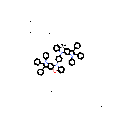 C[Si]1(C)c2ccccc2N(c2ccc(N3c4ccccc4Oc4cc5c(-c6ccccc6)c(-c6ccccc6)n(-c6ccccc6)c5cc43)cc2)c2cc3c(cc21)c(-c1ccccc1)c(-c1ccccc1)n3-c1ccccc1